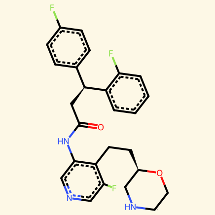 O=C(C[C@@H](c1ccc(F)cc1)c1ccccc1F)Nc1cncc(F)c1CC[C@@H]1CN[CH]CO1